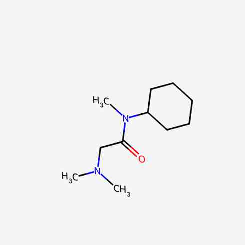 CN(C)CC(=O)N(C)C1CCCCC1